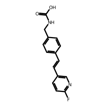 O=C(O)NCc1ccc(C=Cc2ccc(F)nc2)cc1